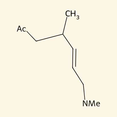 CNC/C=C/C(C)CC(C)=O